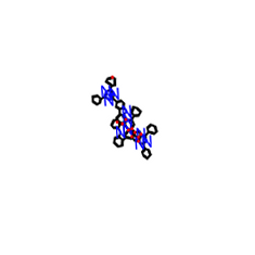 c1ccc(-c2cc(-c3ccccc3-n3c4ccccc4c4cc(-c5nc(-c6ccccc6)nc(-c6ccccc6)n5)ccc43)nc(-c3ccccc3-n3c4ccccc4c4cc(-c5nc(-c6ccccc6)nc(-c6ccccc6)n5)ccc43)n2)cc1